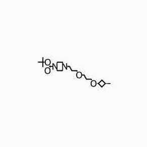 CC(C)(C)OC(=O)N1CCN(CCCOCCCO[C@H]2C[C@H](C)C2)CC1